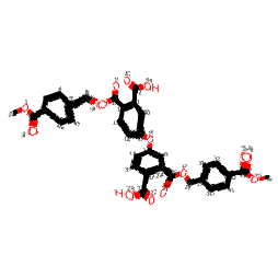 COC(=O)c1ccc(COC(=O)c2ccc(Oc3ccc(C(=O)O)c(C(=O)OCc4ccc(C(=O)OC)cc4)c3)cc2C(=O)O)cc1